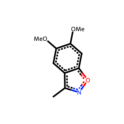 COc1cc2onc(C)c2cc1OC